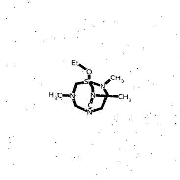 CCO[Si]12CN(C)CN(CCN1C)CN(C)C2